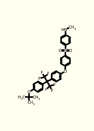 CNc1ccc(S(=O)(=O)c2ccc(Oc3ccc(C(c4ccc(OC(C)(C)C)cc4)(C(F)(F)F)C(F)(F)F)cc3)cc2)cc1